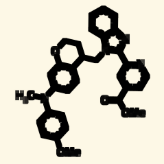 COC(=O)c1ccnc(-c2nc3ccccc3n2CC2CCOc3cc(N(C)c4ccc(OC)cc4)ccc32)c1